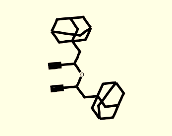 C#CC(CC12CC3CC(CC(C3)C1)C2)OC(C#C)CC12CC3CC(CC(C3)C1)C2